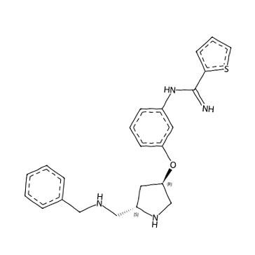 N=C(Nc1cccc(O[C@H]2CN[C@H](CNCc3ccccc3)C2)c1)c1cccs1